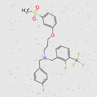 CS(=O)(=O)c1cccc(OCCCN(Cc2ccc(F)cc2)Cc2cccc(C(F)(F)F)c2F)c1